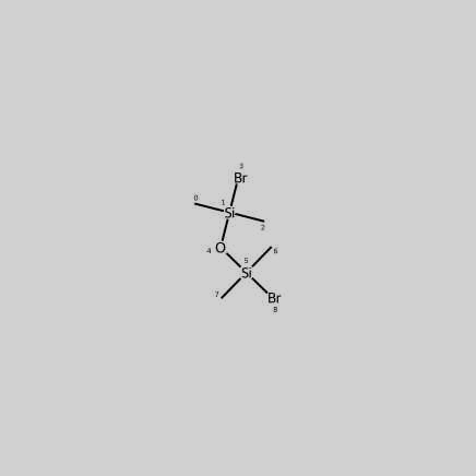 C[Si](C)(Br)O[Si](C)(C)Br